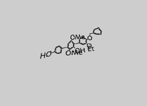 CCOc1cc(-c2c(OC)cc(-c3ccc(O)cc3)c(OC)c2O)ccc1OCc1ccccc1